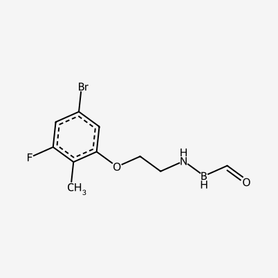 Cc1c(F)cc(Br)cc1OCCNBC=O